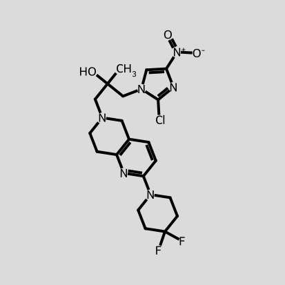 CC(O)(CN1CCc2nc(N3CCC(F)(F)CC3)ccc2C1)Cn1cc([N+](=O)[O-])nc1Cl